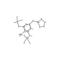 CC(C)(C)Cc1cc(CN2CCCC2)cc(CC(C)(C)C)c1O